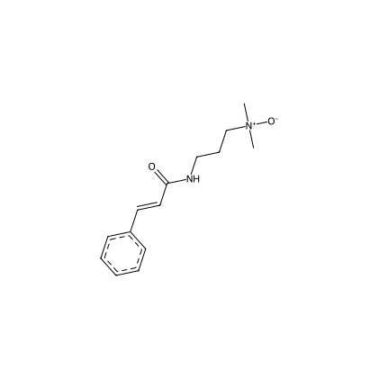 C[N+](C)([O-])CCCNC(=O)C=Cc1ccccc1